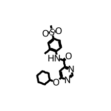 Cc1cc(S(C)(=O)=O)ccc1NC(=O)c1cc(OC2CCCCC2)ncn1